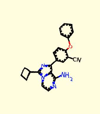 N#Cc1cc(-c2nc(C3CCC3)n3ccnc(N)c23)ccc1Oc1ccccc1